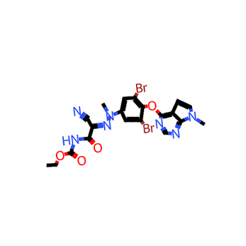 CCOC(=O)NC(=O)/C(C#N)=N/N(C)c1cc(Br)c(Oc2ncnc3c2ccn3C)c(Br)c1